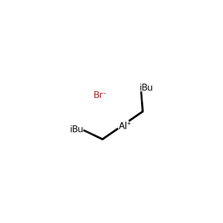 CCC(C)[CH2][Al+][CH2]C(C)CC.[Br-]